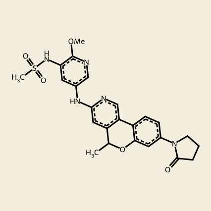 COc1ncc(Nc2cc3c(cn2)-c2ccc(N4CCCC4=O)cc2OC3C)cc1NS(C)(=O)=O